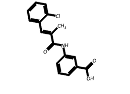 CC(=Cc1ccccc1Cl)C(=O)Nc1cccc(C(=O)O)c1